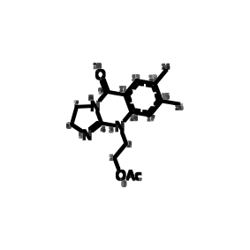 CC(=O)OCCN1C2=NCCN2C(=O)c2cc(C)c(C)cc21